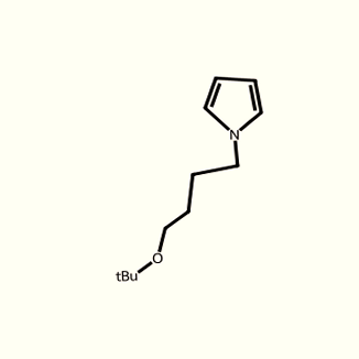 CC(C)(C)OCCCCn1cccc1